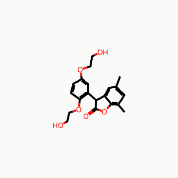 Cc1cc(C)c2c(c1)C(c1cc(OCCO)ccc1OCCO)C(=O)O2